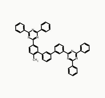 Cc1ccc(-c2nc(-c3ccccc3)nc(-c3ccccc3)n2)cc1-c1cccc(-c2cccc(-c3nc(-c4ccccc4)nc(-c4ccccc4)n3)c2)c1